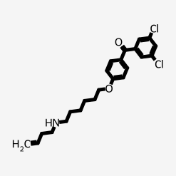 C=CCCNCCCCCCOc1ccc(C(=O)c2cc(Cl)cc(Cl)c2)cc1